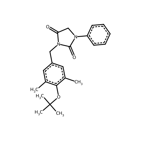 Cc1cc(CN2C(=O)CN(c3ccccc3)C2=O)cc(C)c1OC(C)(C)C